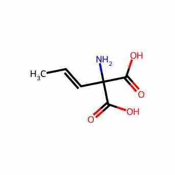 CC=CC(N)(C(=O)O)C(=O)O